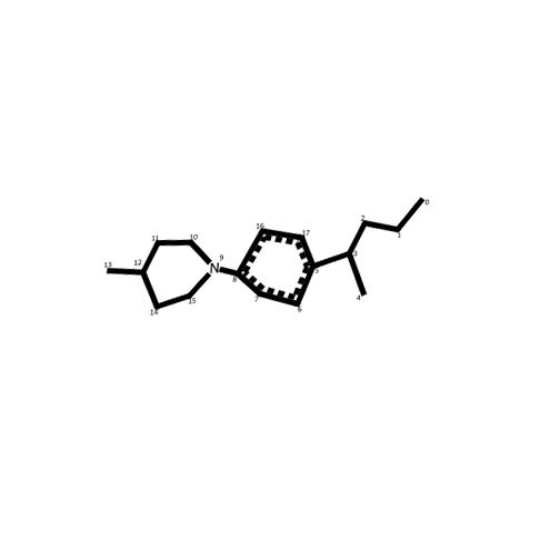 CCCC(C)c1ccc(N2CCC(C)CC2)cc1